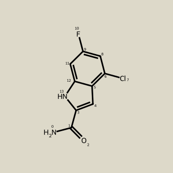 NC(=O)c1cc2c(Cl)cc(F)cc2[nH]1